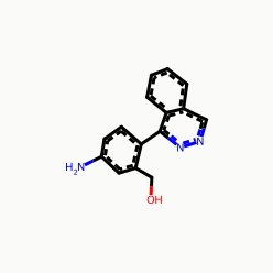 Nc1ccc(-c2nncc3ccccc23)c(CO)c1